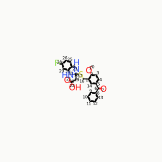 COc1ccc(C(=O)c2ccccc2)cc1CSC1(CC(=O)O)Nc2ccc(F)cc2N1